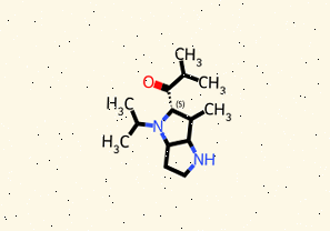 CC(C)C(=O)[C@@H]1C(C)C2NCCC2N1C(C)C